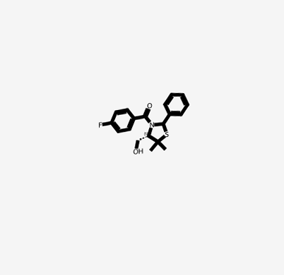 CC1(C)SC(c2ccccc2)N(C(=O)c2ccc(F)cc2)[C@H]1CO